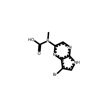 CN(C(=O)O)c1cnc2[nH]cc(Br)c2n1